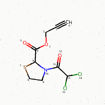 C#CCOC(=O)C1SCCN1C(=O)C(Cl)Cl